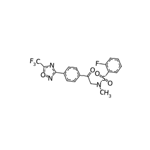 CN(CC(=O)c1ccc(-c2noc(C(F)(F)F)n2)cc1)S(=O)(=O)c1ccccc1F